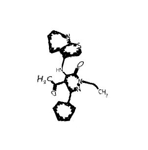 CCn1nc(-c2ccccc2)c(C(C)=O)c(Nc2csc3ncccc23)c1=O